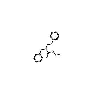 O=C(OCI)N(CCc1ccccc1)Cc1ccccc1